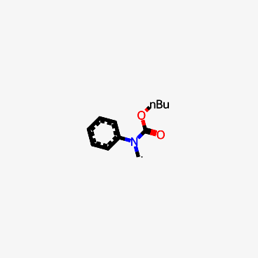 [CH2]N(C(=O)OCCCC)c1ccccc1